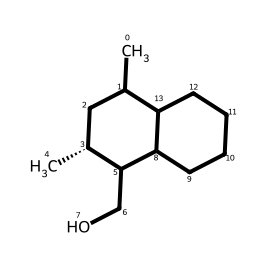 CC1C[C@@H](C)C(CO)C2CCCCC12